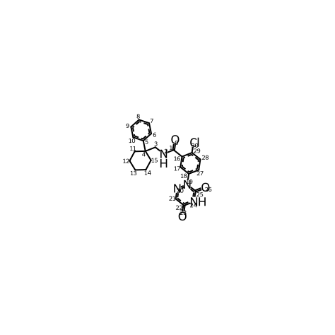 O=C(NCC1(c2ccccc2)CCCCC1)c1cc(-n2ncc(=O)[nH]c2=O)ccc1Cl